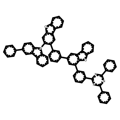 c1ccc(-c2ccc3c(c2)c2ccccc2n3-c2cc3oc4ccccc4c3cc2-c2cccc(-c3cc(-c4cccc(-c5nc(-c6ccccc6)nc(-c6ccccc6)n5)c4)c4oc5ccccc5c4c3)c2)cc1